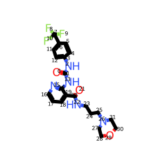 O=C(Nc1ccc(C(F)(F)F)cc1)Nc1ncccc1C(=O)NCCCN1CCOCC1